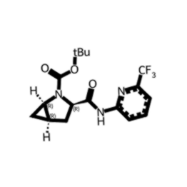 CC(C)(C)OC(=O)N1[C@@H](C(=O)Nc2cccc(C(F)(F)F)n2)C[C@H]2C[C@H]21